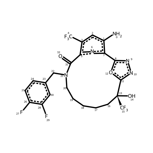 Nc1cc(C(F)(F)F)c2nc1-c1nnc(o1)[C@@](O)(C(F)(F)F)CCCCCN(Cc1ccc(F)c(F)c1)C2=O